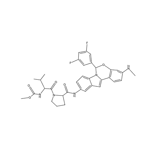 CNc1ccc2c(c1)OC(c1cc(F)cc(F)c1)n1c-2cc2cc(NC(=O)C3CCCN3C(=O)C(NC(=O)OC)C(C)C)ccc21